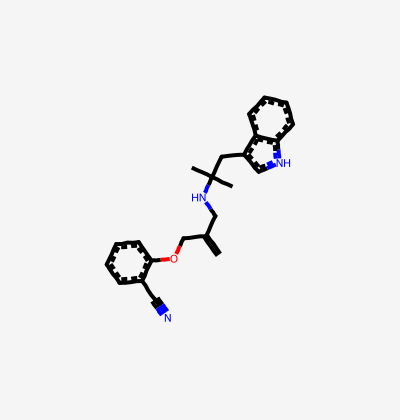 C=C(CNC(C)(C)Cc1c[nH]c2ccccc12)COc1ccccc1C#N